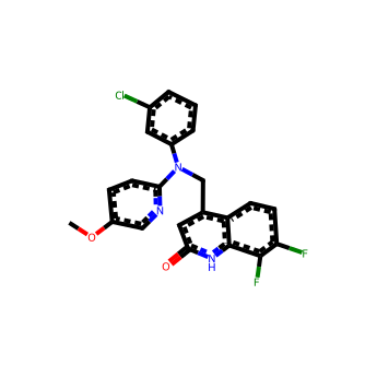 COc1ccc(N(Cc2cc(=O)[nH]c3c(F)c(F)ccc23)c2cccc(Cl)c2)nc1